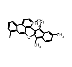 Cc1ccc2c(C)c3c(c(C)c2c1)-c1c2c(cc4c(F)cccc4c2cc[n+]1C)O3